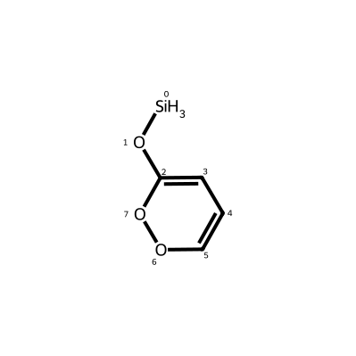 [SiH3]OC1=CC=COO1